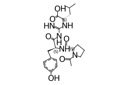 CC(=O)N1CCC[C@H]1C(=O)N[C@@H](Cc1ccc(O)cc1)C(=O)NC(=N)N[C@@H](CC(C)C)C(=O)O